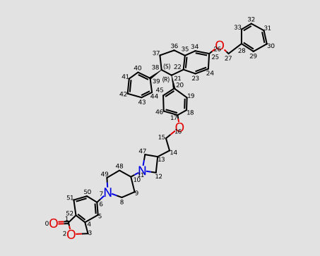 O=C1OCc2cc(N3CCC(N4CC(CCOc5ccc([C@@H]6c7ccc(OCc8ccccc8)cc7CC[C@@H]6c6ccccc6)cc5)C4)CC3)ccc21